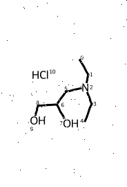 CCN(CC)CC(O)CO.Cl